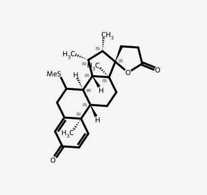 CSC1CC2=CC(=O)C=C[C@]2(C)[C@H]2CC[C@@]3(C)[C@@H]([C@H](C)[C@H](C)[C@@]34CCC(=O)O4)[C@H]12